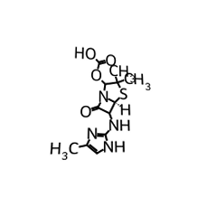 Cc1c[nH]c(NC2C(=O)N3C(OC(=O)O)C(C)(C)S[C@@H]23)n1